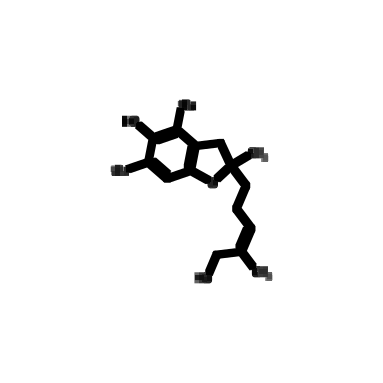 CC(=CCCC1(C)Cc2c(cc(C(C)(C)C)c(O)c2C(C)(C)C)O1)CO